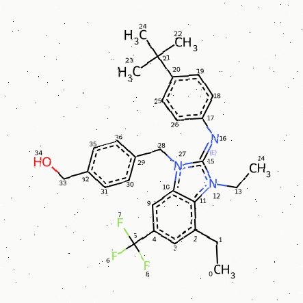 CCc1cc(C(F)(F)F)cc2c1n(CC)/c(=N/c1ccc(C(C)(C)C)cc1)n2Cc1ccc(CO)cc1